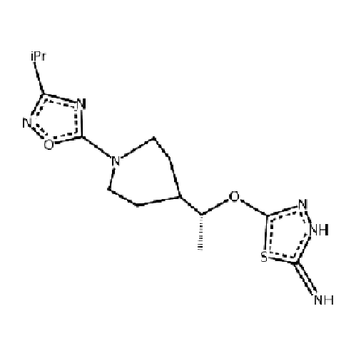 CC(C)c1noc(N2CCC([C@@H](C)Oc3n[nH]c(=N)s3)CC2)n1